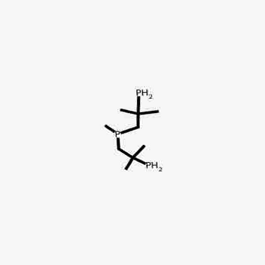 CP(CC(C)(C)P)CC(C)(C)P